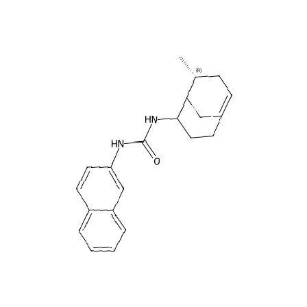 C[C@@H]1CC=C2CCC(NC(=O)Nc3ccc4ccccc4c3)C1C2